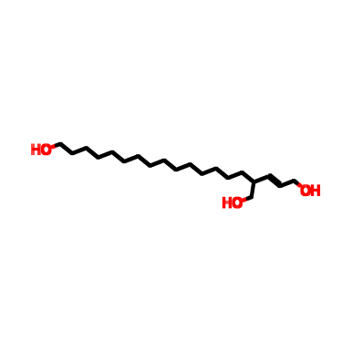 OCC=CC(CO)CCCCCCCCCCCCCCCO